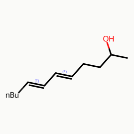 CCCC/C=C/C=C/CCC(C)O